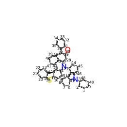 c1ccc(-n2c3ccccc3c3c(N(c4ccc5sc6ccccc6c5c4)c4cc5oc6ccccc6c5c5ccccc45)cccc32)cc1